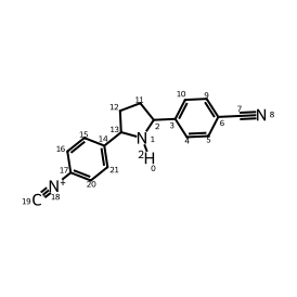 [2H]N1C(c2ccc(C#N)cc2)CCC1c1ccc([N+]#[C-])cc1